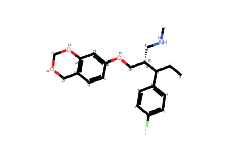 CCC(c1ccc(F)cc1)[C@@H](CNC)COc1ccc2c(c1)OCOC2